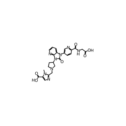 Cn1c(C(=O)O)cnc1CN1CCC(n2c(=O)n(-c3ccc(C(=O)NCC(=O)O)nc3)c3cccnc32)C1